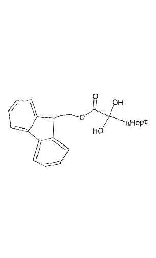 CCCCCCCC(O)(O)C(=O)OCC1c2ccccc2-c2ccccc21